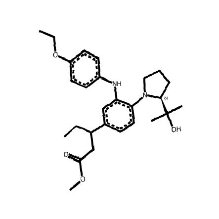 CCOc1ccc(Nc2cc(C(CC)CC(=O)OC)ccc2N2CCC[C@H]2C(C)(C)O)cc1